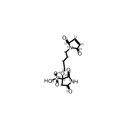 O=C1CC(OCCCCN2C(=O)C=CC2=O)(S(=O)(=O)O)C(=O)N1